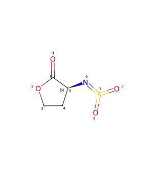 O=C1OCC[C@@H]1N=S(=O)=O